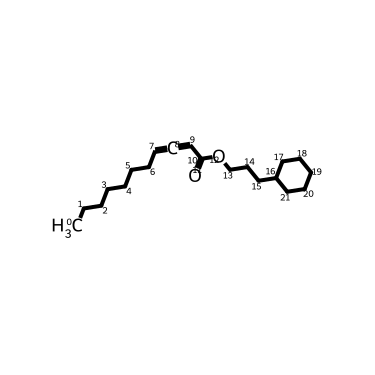 CCCCCCCC=C=CC(=O)OCCCC1CCCCC1